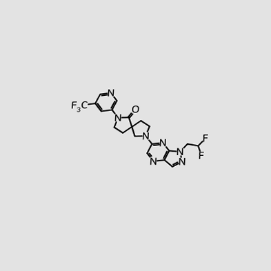 O=C1N(c2cncc(C(F)(F)F)c2)CCC12CCN(c1cnc3cnn(CC(F)F)c3n1)C2